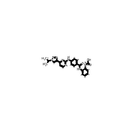 CC(C)n1cc(-c2ccnc(Nc3ccc(C(=O)Nc4ccccc4NC(=O)O)cc3)n2)nn1